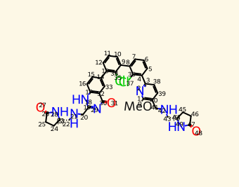 COc1nc(-c2cccc(-c3cccc(-c4ccc5[nH]c(CNC[C@@H]6CCC(=O)N6)nc(=O)c5c4)c3Cl)c2Cl)ccc1CNC[C@@H]1CCC(=O)N1